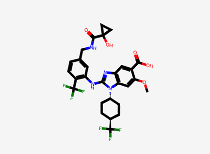 COc1cc2c(cc1C(=O)O)nc(Nc1cc(CNC(=O)C3(O)CC3)ccc1C(F)(F)F)n2[C@H]1CC[C@H](C(F)(F)F)CC1